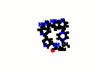 CCCCC(=O)Nc1cncc(-c2cc3c(-c4cc5c(N6CCN(C)CC6)ccnc5[nH]4)n[nH]c3cn2)c1